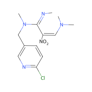 C/N=C(\C(=C/N(C)C)[N+](=O)[O-])N(C)Cc1ccc(Cl)nc1